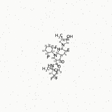 C[C@@H]1CN(c2nc3c(cc2F)c(=O)c(C(=O)NC(C)(C)CC(F)(F)F)cn3-c2c(F)cccc2F)C[C@H]1O